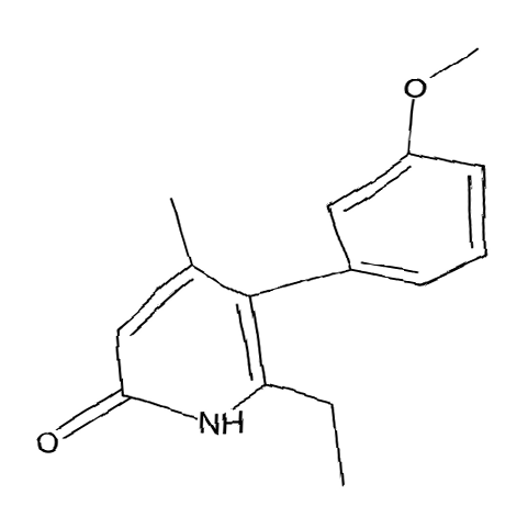 CCc1[nH]c(=O)cc(C)c1-c1cccc(OC)c1